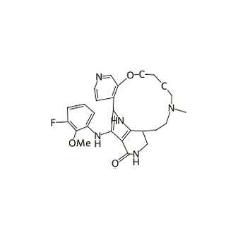 COc1c(F)cccc1Nc1c2[nH]c3c1C(=O)NCC3CCN(C)CCCCOc1cnccc1-2